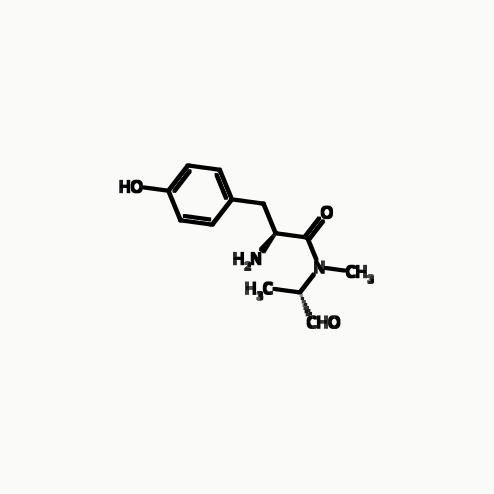 C[C@@H](C=O)N(C)C(=O)[C@@H](N)Cc1ccc(O)cc1